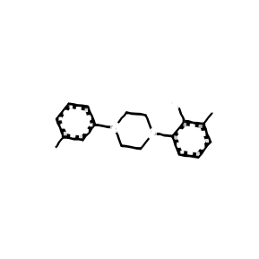 CC(=O)c1c(F)cccc1N1CCN(c2cccc(C(F)(F)F)c2)CC1